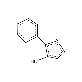 Oc1ccsc1-c1ccccc1